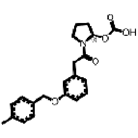 Cc1ccc(COc2cccc(CC(=O)N3CCC[C@H]3OC(=O)O)c2)cc1